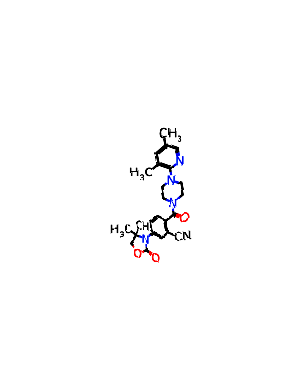 Cc1cnc(N2CCN(C(=O)c3ccc(N4C(=O)OCC4(C)C)cc3C#N)CC2)c(C)c1